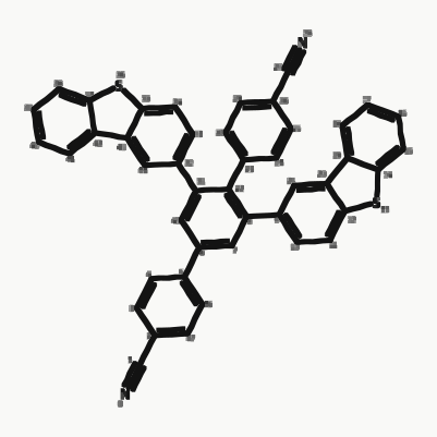 N#Cc1ccc(-c2cc(-c3ccc4sc5ccccc5c4c3)c(-c3ccc(C#N)cc3)c(-c3ccc4sc5ccccc5c4c3)c2)cc1